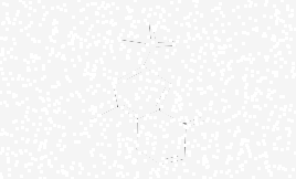 O=c1cc[nH]c2c(Cl)cc(S(=O)(=O)Cl)cc12